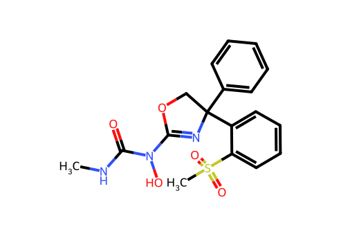 CNC(=O)N(O)C1=NC(c2ccccc2)(c2ccccc2S(C)(=O)=O)CO1